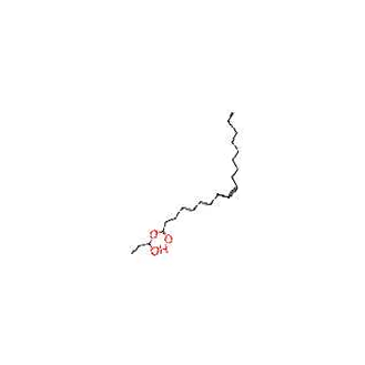 CCCCCCCC/C=C\CCCCCCCC(=O)OC(O)CC